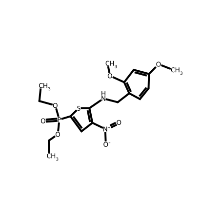 CCOP(=O)(OCC)c1cc([N+](=O)[O-])c(NCc2ccc(OC)cc2OC)s1